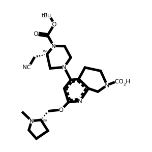 CN1CCC[C@H]1COc1cc(N2CCN(C(=O)OC(C)(C)C)[C@@H](CC#N)C2)c2c(n1)CN(C(=O)O)CC2